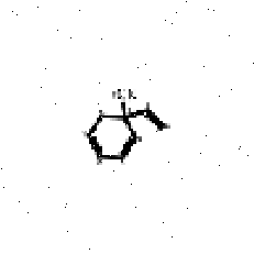 C=CC1(C#N)C=CC=CC1